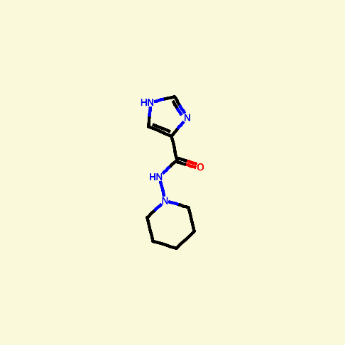 O=C(NN1CCCCC1)c1c[nH]cn1